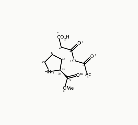 CC(=O)C(=O)OC(=O)CC(=O)O.COC(=O)[C@@H]1CCCN1